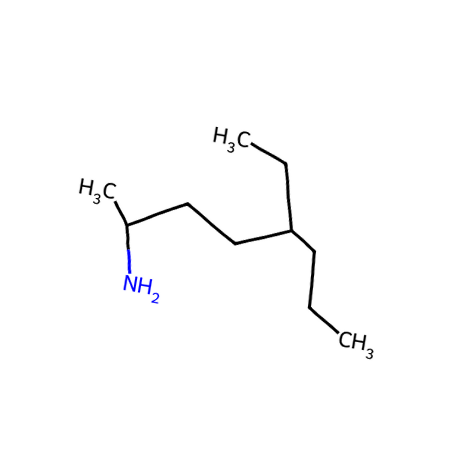 CCCC(CC)CCC(C)N